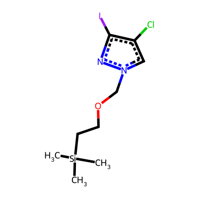 C[Si](C)(C)CCOCn1cc(Cl)c(I)n1